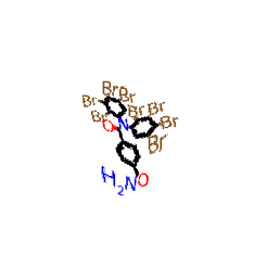 NC(=O)c1ccc(C(=O)N(c2cc(Br)c(Br)c(Br)c2Br)c2cc(Br)c(Br)c(Br)c2Br)cc1